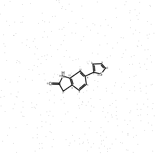 O=C1Cc2ccc(-c3cccs3)cc2N1